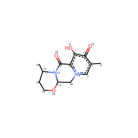 Cc1cn2c(c(O)c1=O)C(=O)N1C(C)CCOC1C2